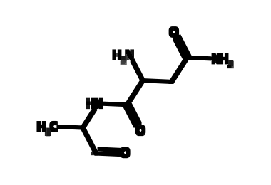 CC([C]=O)NC(=O)C(N)CC(N)=O